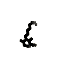 CC(C)CC(C)N(CCCCCN)C(C)CC(C)C